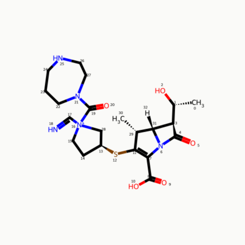 C[C@@H](O)[C@H]1C(=O)N2C(C(=O)O)=C(S[C@H]3CC[N+](C=N)(C(=O)N4CCCNCC4)C3)[C@H](C)[C@H]12